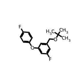 CC(C)(C)OCc1cc(F)cc(Oc2ccc(F)cc2)c1